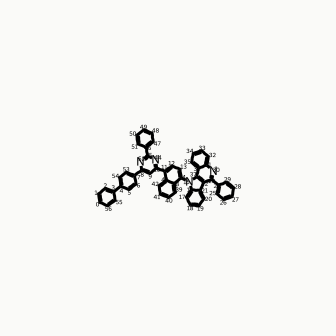 c1ccc(-c2ccc(-c3cc(-c4ccc(-n5c6ccccc6c6c(-c7ccccc7)nc7ccccc7c65)c5ccccc45)nc(-c4ccccc4)n3)cc2)cc1